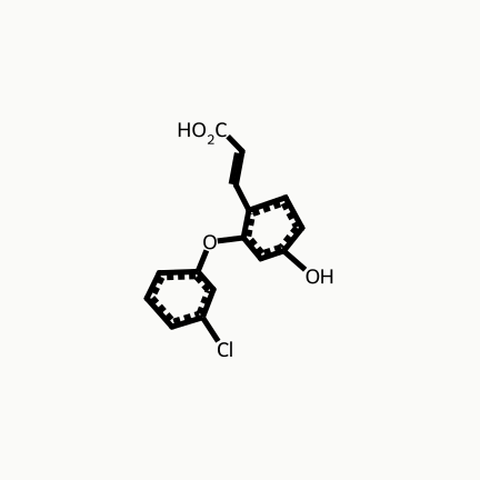 O=C(O)/C=C/c1ccc(O)cc1Oc1cccc(Cl)c1